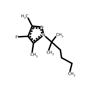 CCCCC(C)(C)n1nc(C)c(F)c1C